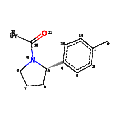 Cc1ccc([C@@H]2CCCN2C(=O)C(C)C)cc1